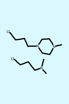 CN(C)CCCCl.CN1CCN(CCCCl)CC1